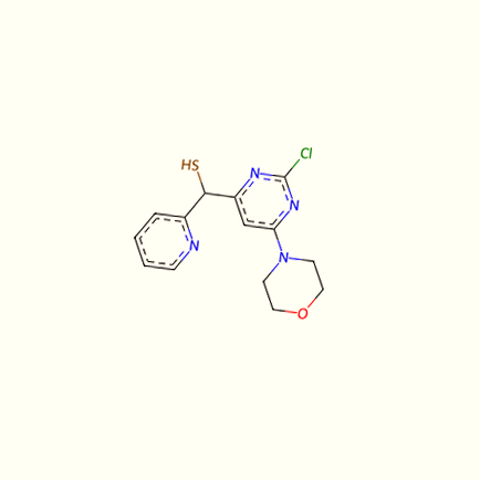 SC(c1ccccn1)c1cc(N2CCOCC2)nc(Cl)n1